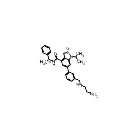 CC(C)N1NCc2c(C(=O)N[C@@H](C)c3ccccc3)cc(-c3cccc(CNCCN)c3)cc21